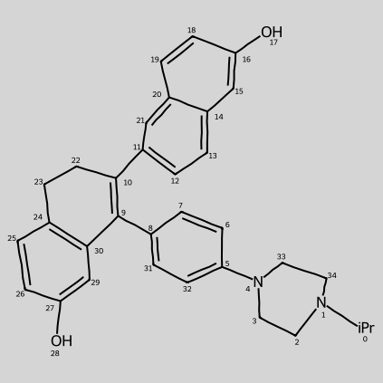 CC(C)N1CCN(c2ccc(C3=C(c4ccc5cc(O)ccc5c4)CCc4ccc(O)cc43)cc2)CC1